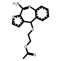 CC(=O)OCCSC1c2ccccc2N=C(N)c2sccc21